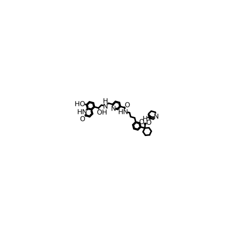 O=C(NCCCc1cccc(C2(C(=O)O[C@H]3CN4CCC3CC4)CCCCC2)c1)c1ccc(CNC[C@@H](O)c2ccc(O)c3[nH]c(=O)ccc23)nc1